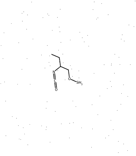 CCC(CO[SiH3])N=C=O